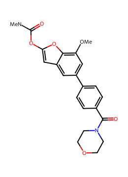 CNC(=O)Oc1cc2cc(-c3ccc(C(=O)N4CCOCC4)cc3)cc(OC)c2o1